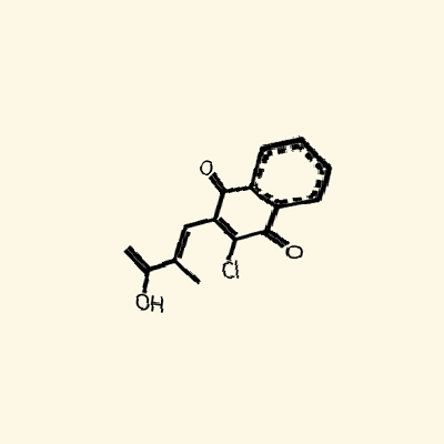 C=C(O)/C(C)=C/C1=C(Cl)C(=O)c2ccccc2C1=O